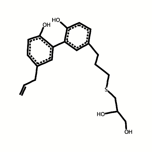 C=CCc1ccc(O)c(-c2cc(CCCSCC(O)CO)ccc2O)c1